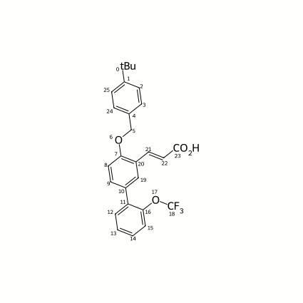 CC(C)(C)c1ccc(COc2ccc(-c3ccccc3OC(F)(F)F)cc2C=CC(=O)O)cc1